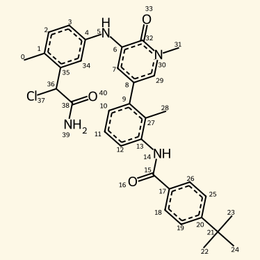 Cc1ccc(Nc2cc(-c3cccc(NC(=O)c4ccc(C(C)(C)C)cc4)c3C)cn(C)c2=O)cc1C(Cl)C(N)=O